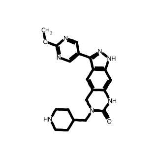 COc1ncc(-c2n[nH]c3cc4c(cc23)CN(CC2CCNCC2)C(=O)N4)cn1